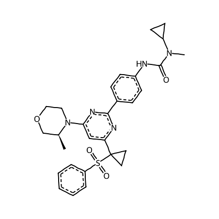 C[C@H]1COCCN1c1cc(C2(S(=O)(=O)c3ccccc3)CC2)nc(-c2ccc(NC(=O)N(C)C3CC3)cc2)n1